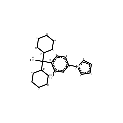 Oc1cc(-n2cccc2)ccc1C(O)(C1CCCCC1)C1CCCCC1